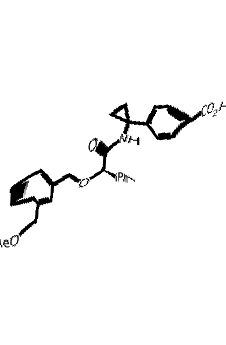 COCc1cccc(CO[C@@H](C(=O)NC2(c3ccc(C(=O)O)cc3)CC2)C(C)C)c1